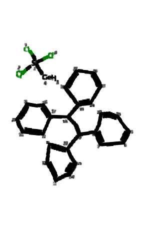 Cl[Si](Cl)(Cl)[GeH3].c1ccc(C(c2ccccc2)C(c2ccccc2)c2ccccc2)cc1